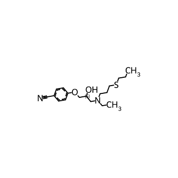 CCCSCCCN(CC)C[C@H](O)COc1ccc(C#N)cc1